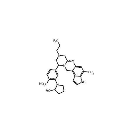 COc1cc(C)c2[nH]ccc2c1CN1CCN(CCC(F)(F)F)CC1c1ccc(C(=O)O)c(N2CCCC2O)c1